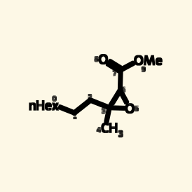 CCCCCCCCC1(C)OC1C(=O)OC